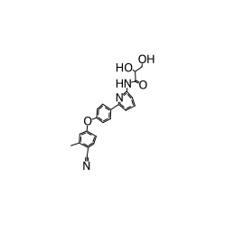 Cc1cc(Oc2ccc(-c3cccc(NC(=O)C(O)CO)n3)cc2)ccc1C#N